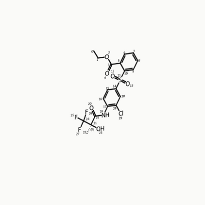 CCOC(=O)c1ccccc1S(=O)(=O)c1ccc(NC(=O)[C@@](C)(O)C(F)(F)F)c(Cl)c1